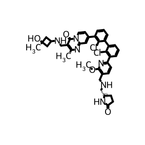 COc1nc(-c2cccc(-c3cccc(-c4ccn5c(=O)c(CNC6CC(C)(O)C6)c(C)nc5c4)c3Cl)c2Cl)ccc1CNC[C@@H]1CCC(=O)N1